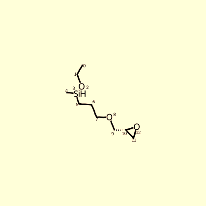 CCO[SiH](C)CCCOC[C@H]1CO1